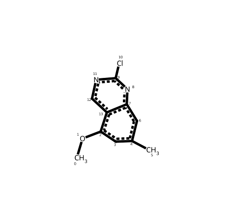 COc1cc(C)cc2nc(Cl)ncc12